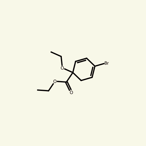 CCOC(=O)C1(OCC)C=CC(Br)=CC1